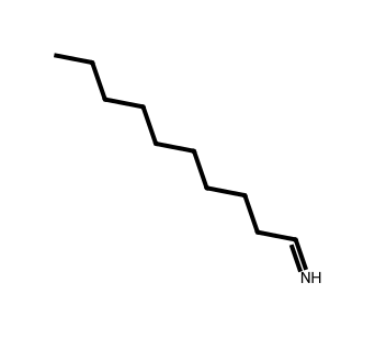 CCCCCCCCCC=N